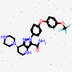 NC(=O)c1c2c(nn1-c1ccc(Oc3ccc(OC(F)(F)F)cc3)cc1)[C@@H](N1CCNCC1)CCN2